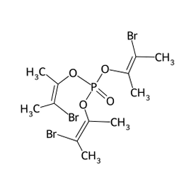 C/C(Br)=C(\C)OP(=O)(O/C(C)=C(/C)Br)O/C(C)=C(/C)Br